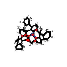 CC1(C)c2ccccc2-c2cc(N(c3cccc(-c4ccccc4)c3-c3ccccc3-c3ccccc3)c3cccc4c3C(C)(C)c3ccccc3-4)ccc21